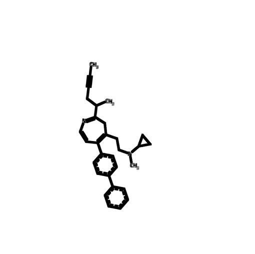 CC#CCC(C)C1=NC=CC(c2ccc(-c3ccccc3)cc2)=C(CCN(C)C2CC2)C1